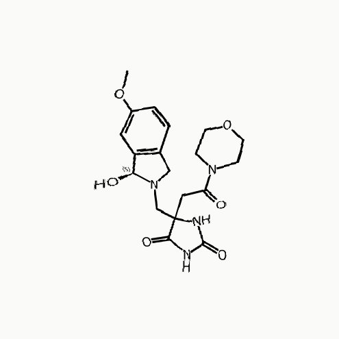 COc1ccc2c(c1)[C@H](O)N(CC1(CC(=O)N3CCOCC3)NC(=O)NC1=O)C2